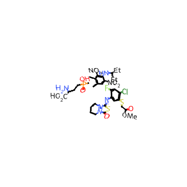 CCC(CC)Nc1c([N+](=O)[O-])cc(C)c(C)c1[N+](=O)[O-].COC(=O)CSc1cc(/N=c2\sc(=O)n3n2CCCC3)c(F)cc1Cl.CP(=O)(O)CCC(N)C(=O)O